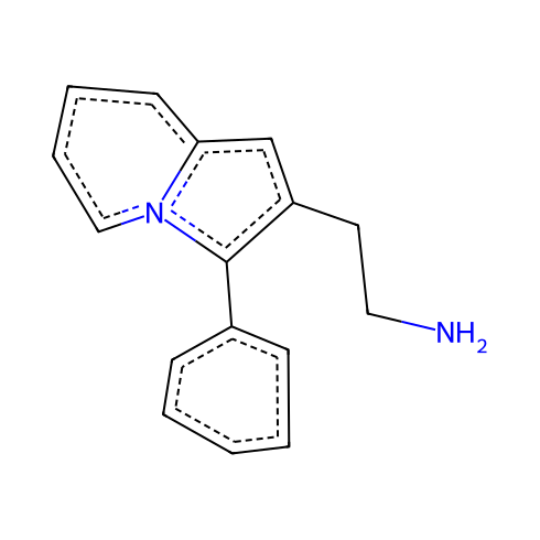 NCCc1cc2ccccn2c1-c1ccccc1